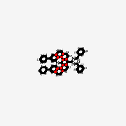 C1=CCCC(c2ccc(-c3ccccc3)c(N(c3cc(-c4ccccc4)ccc3-c3ccccc3)c3c(-c4ccccc4)cc(-c4nc(-c5ccccc5)nc(-c5ccccc5)n4)cc3-c3ccccc3)c2)=C1